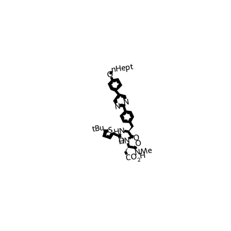 CCCCCCCOc1ccc(-c2cnc(-c3ccc(C[C@H](NC(=O)c4ccc(C(C)(C)C)s4)C(=O)N[C@@H](CC(=O)O)C(=O)NC)cc3)nc2)cc1